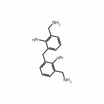 CCCc1c(CN)cccc1Cc1cccc(CN)c1CCC